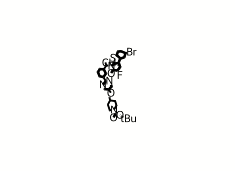 CC(c1cccc(-c2ncc(OCC3CCN(C(=O)OC(C)(C)C)CC3)cn2)c1)n1c(=O)c(F)cc2c3cc(Br)ccc3sc21